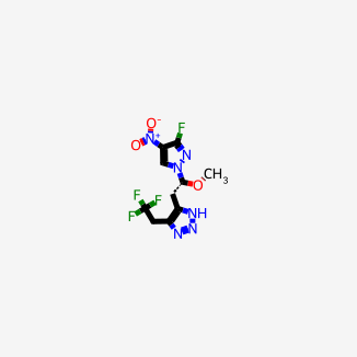 CO[C@H](Cc1[nH]nnc1CC(F)(F)F)n1cc([N+](=O)[O-])c(F)n1